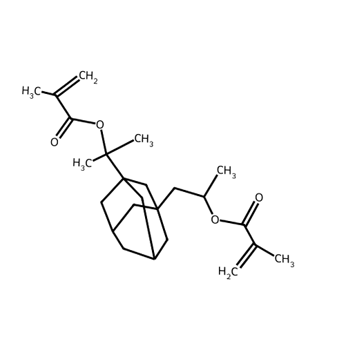 C=C(C)C(=O)OC(C)CC12CC3CC(C1)CC(C(C)(C)OC(=O)C(=C)C)(C3)C2